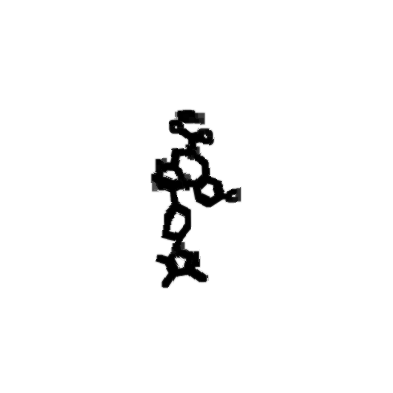 Cc1nn(C2CCC(c3nnc4n3-c3ccc(Cl)cc3CN(C(=O)OC(C)(C)C)C4)CC2)c(C)c1C